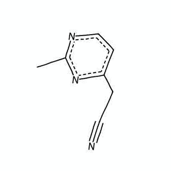 Cc1nccc(CC#N)n1